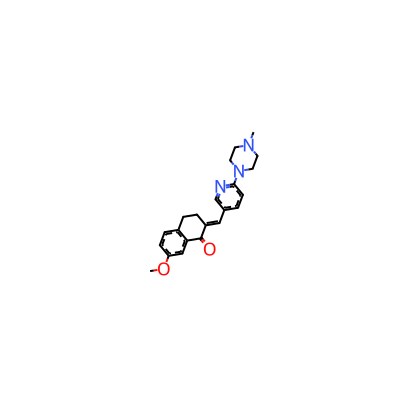 COc1ccc2c(c1)C(=O)/C(=C/c1ccc(N3CCN(C)CC3)nc1)CC2